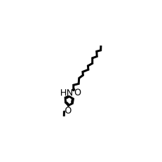 CCCCCCCCCCCCCC(=O)Nc1ccc(OCC)cc1